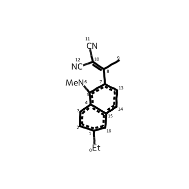 CCc1ccc2c(NC)c(C(C)=C(C#N)C#N)ccc2c1